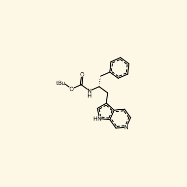 CC(C)(C)OC(=O)N[C@H](Cc1ccccc1)Cc1c[nH]c2cnccc12